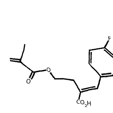 C=C(C)C(=O)OCCC(=Cc1ccc(F)cc1)C(=O)O